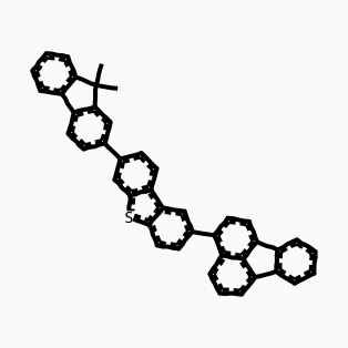 CC1(C)c2ccccc2-c2ccc(-c3ccc4c(c3)sc3ccc(-c5ccc6c7c(cccc57)-c5ccccc5-6)cc34)cc21